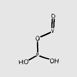 [O]=[V][O]P(O)O